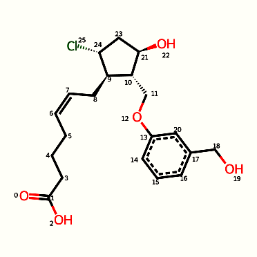 O=C(O)CCC/C=C\C[C@@H]1[C@@H](COc2cccc(CO)c2)[C@H](O)C[C@H]1Cl